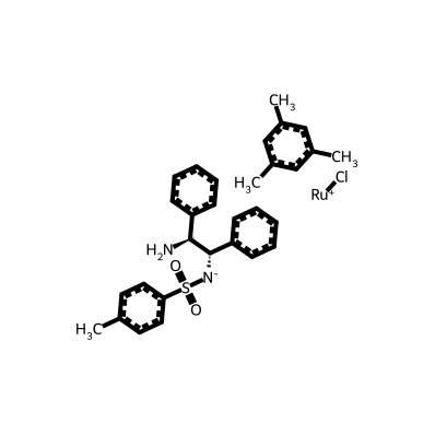 Cc1cc(C)cc(C)c1.Cc1ccc(S(=O)(=O)[N-][C@@H](c2ccccc2)[C@@H](N)c2ccccc2)cc1.[Cl][Ru+]